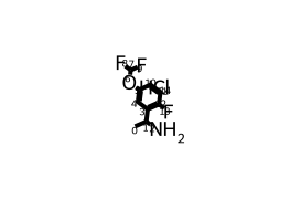 CC(N)c1cc(OC(F)F)ccc1F.Cl